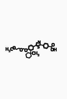 COCCOCOc1ccc(-c2cnc(-c3ccc(C(=O)O)cc3)s2)cc1C1(C)CCCCC1